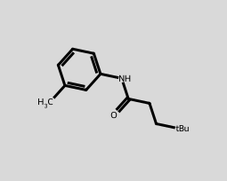 Cc1cccc(NC(=O)CCC(C)(C)C)c1